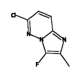 Cc1nc2ccc(Cl)nn2c1F